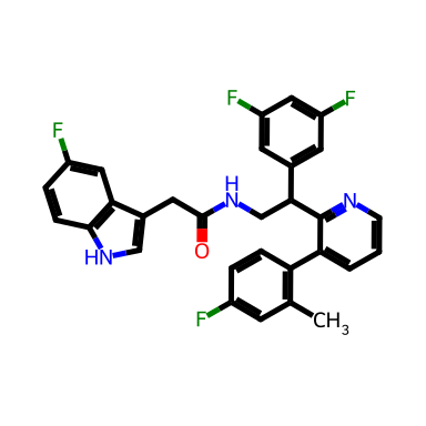 Cc1cc(F)ccc1-c1cccnc1C(CNC(=O)Cc1c[nH]c2ccc(F)cc12)c1cc(F)cc(F)c1